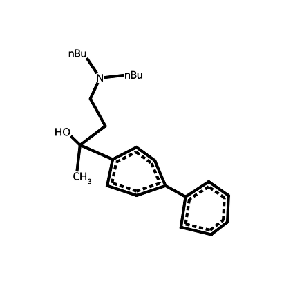 CCCCN(CCCC)CCC(C)(O)c1ccc(-c2ccccc2)cc1